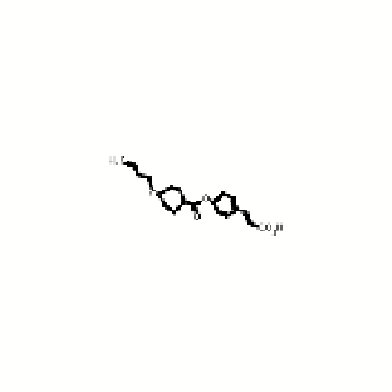 C=CCCOC1CCC(C(=O)Oc2ccc(C=CC(=O)O)cc2)CC1